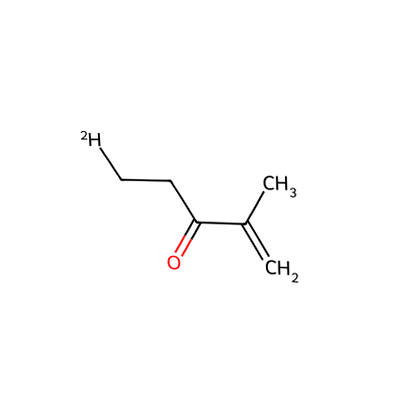 [2H]CCC(=O)C(=C)C